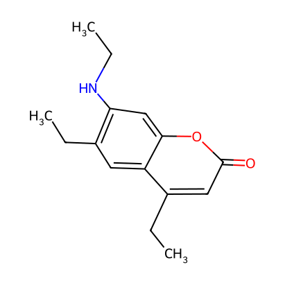 CCNc1cc2oc(=O)cc(CC)c2cc1CC